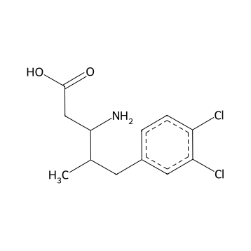 CC(Cc1ccc(Cl)c(Cl)c1)C(N)CC(=O)O